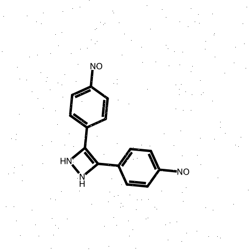 O=Nc1ccc(-c2[nH][nH]c2-c2ccc(N=O)cc2)cc1